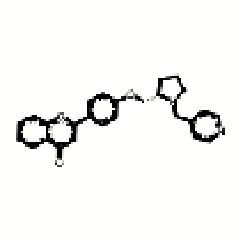 O=c1cc(-c2ccc(OC[C@@H]3CCCN3Cc3ccncc3)cc2)oc2ccccc12